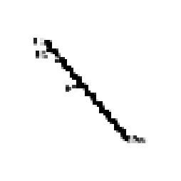 CCCCCCCCCCCCCCCCCCCCCCC(O)CCCCCOCC(O)CO